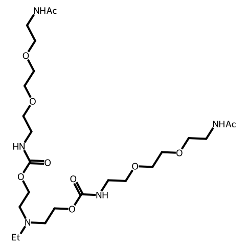 CCN(CCOC(=O)NCCOCCOCCNC(C)=O)CCOC(=O)NCCOCCOCCNC(C)=O